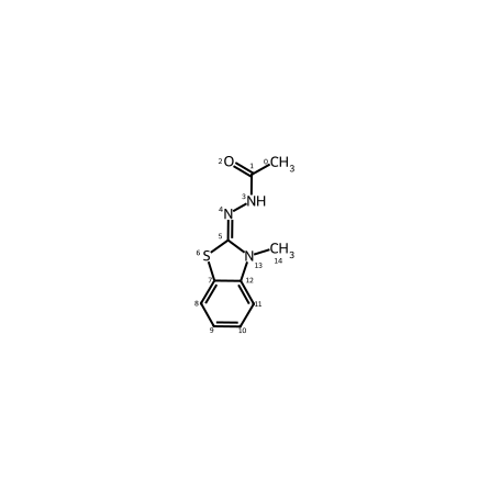 CC(=O)NN=c1sc2ccccc2n1C